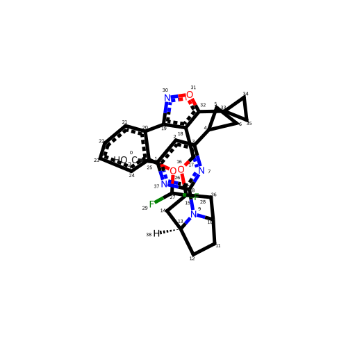 O=C(O)c1cc(C2CC2)nc(N2C3CC[C@H]2CC(OCc2c(-c4ccccc4OC(F)F)noc2C2CC2)C3)n1